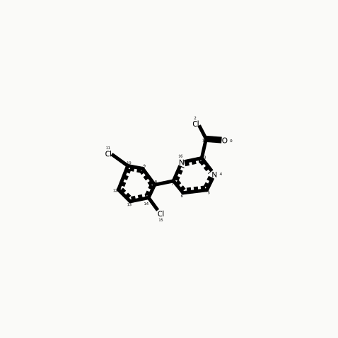 O=C(Cl)c1nccc(-c2cc(Cl)ccc2Cl)n1